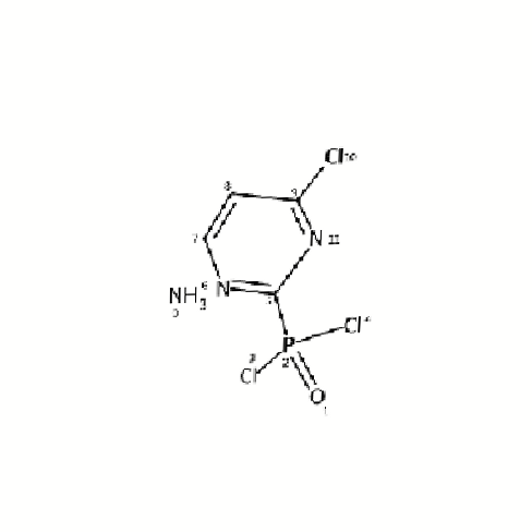 N.O=P(Cl)(Cl)c1nccc(Cl)n1